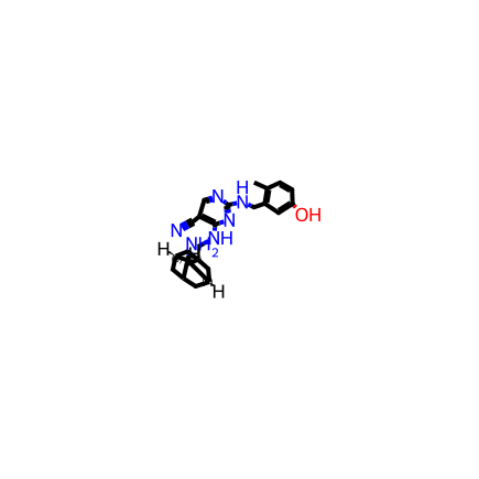 Cc1ccc(O)cc1CNc1ncc(C#N)c(NC[C@]23CC4C[C@H](C2)[C@@H](N)[C@@H](C4)C3)n1